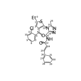 CCc1cc(C(=O)c2ccccc2Cl)c(-n2c(C)nnc2CNC(=O)C=Cc2ccccc2)s1